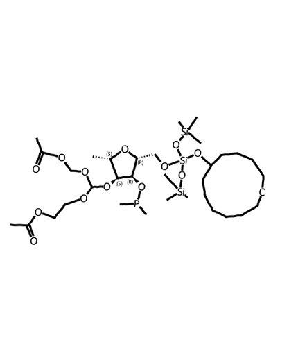 CC(=O)OCCOC(OCOC(C)=O)O[C@@H]1[C@H](OP(C)C)[C@@H](CO[Si](OC2CCCCCCCCCCC2)(O[Si](C)(C)C)O[Si](C)(C)C)O[C@H]1C